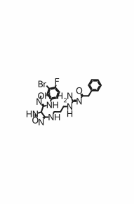 N/C(=N\C(=O)Cc1ccccc1)NCCCNC1=NONC1/C(=N/O)Nc1ccc(F)c(Br)c1